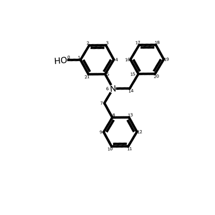 Oc1cccc(N(Cc2ccccc2)Cc2ccccc2)c1